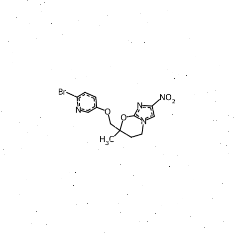 CC1(COc2ccc(Br)nc2)CCn2cc([N+](=O)[O-])nc2O1